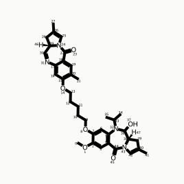 COc1cc2c(cc1OCCCCCOc1cc3c(cc1C)C(=O)N1C=C(C)C[C@H]1C=N3)N(C(C)C)C(O)[C@@H]1CC(C)=CN1C2=O